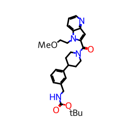 COCCn1c(C(=O)N2CCC(c3cccc(CNC(=O)OC(C)(C)C)c3)CC2)cc2ncccc21